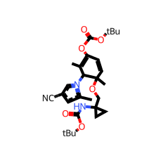 CC1=C(OC(=O)OC(C)(C)C)C=CC(C)(OCC2(NC(=O)OC(C)(C)C)CC2)C1n1cc(C#N)cc1C